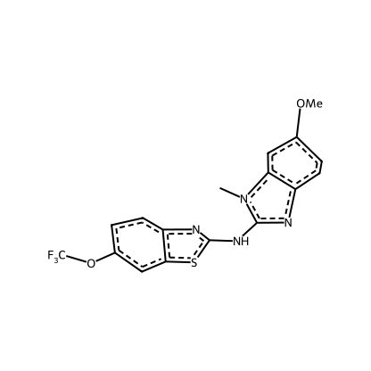 COc1ccc2nc(Nc3nc4ccc(OC(F)(F)F)cc4s3)n(C)c2c1